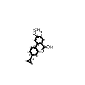 COc1ccc(C(=O)O)c(-c2ccc(C3CC3)cc2)c1